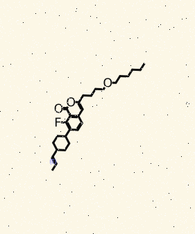 C/C=C/C1CCC(c2ccc3cc(CCCCOCCCCCC)oc(=O)c3c2F)CC1